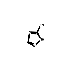 N#CC1=N[C]=[N+]N1